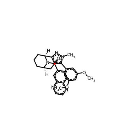 COc1cc(OC)cc(-c2c3c(nn2C)[C@@H]2CCC[C@H](C3)N2C(=O)c2ccc3nccnc3c2)c1